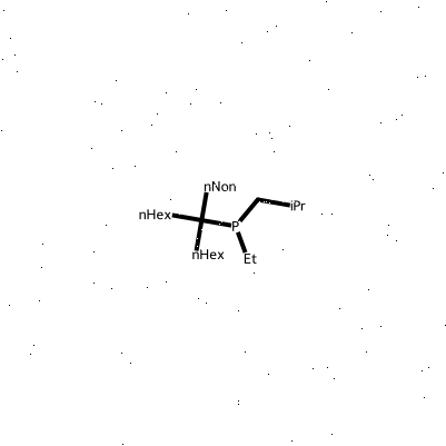 CCCCCCCCCC(CCCCCC)(CCCCCC)P(CC)CC(C)C